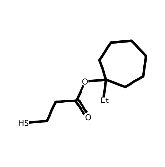 CCC1(OC(=O)CCS)CCCCCC1